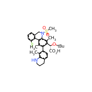 Cc1c(-c2c(C)c3c(c(C)c2[C@H](OC(C)(C)C)C(=O)O)N(S(C)(=O)=O)Cc2cccc(F)c2-3)ccc2c1NCCC2